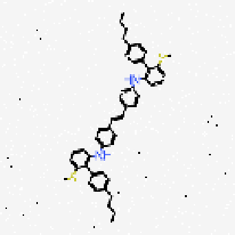 CCCCc1ccc(-c2c(Nc3ccc(/C=C/c4ccc(Nc5cccc(SC)c5-c5ccc(CCCC)cc5)cc4)cc3)cccc2SC)cc1